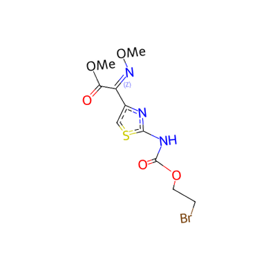 CO/N=C(\C(=O)OC)c1csc(NC(=O)OCCBr)n1